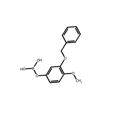 COc1ccc(OB(O)O)cc1OCc1ccccc1